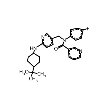 CC(C)(C)C1CCC(Nc2ccc(CN(C(=O)c3cccnc3)c3ccc(F)cc3)cn2)CC1